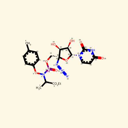 CCOC(=O)C(C)N(Oc1ccc(C)cc1)[PH](=O)OC[C@@]1(N=[N+]=[N-])O[C@@H](n2ccc(=O)[nH]c2=O)[C@H](O)[C@@H]1O